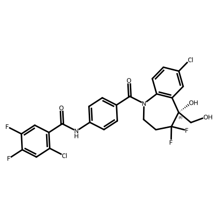 O=C(Nc1ccc(C(=O)N2CCC(F)(F)[C@](O)(CO)c3cc(Cl)ccc32)cc1)c1cc(F)c(F)cc1Cl